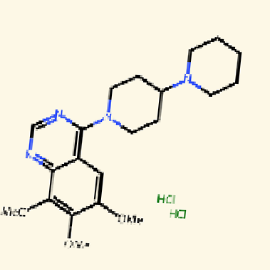 COc1cc2c(N3CCC(N4CCCCC4)CC3)ncnc2c(OC)c1OC.Cl.Cl